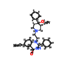 CCCOC1(c2ccccc2)CCN(CCN2c3ccc(OC)cc3C(=O)NC2c2ccccc2)CC1